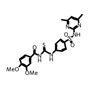 COc1ccc(C(=O)NC(=S)Nc2ccc(S(=O)(=O)Nc3nc(C)cc(C)n3)cc2)cc1OC